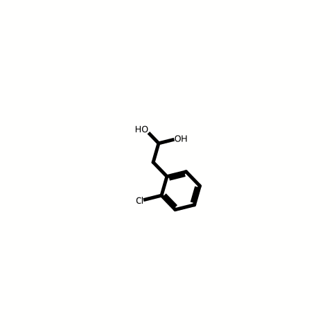 OC(O)Cc1ccccc1Cl